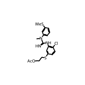 CSc1cccc(N(C)C(=N)Nc2cc(SCCOC(C)=O)ccc2Cl)c1